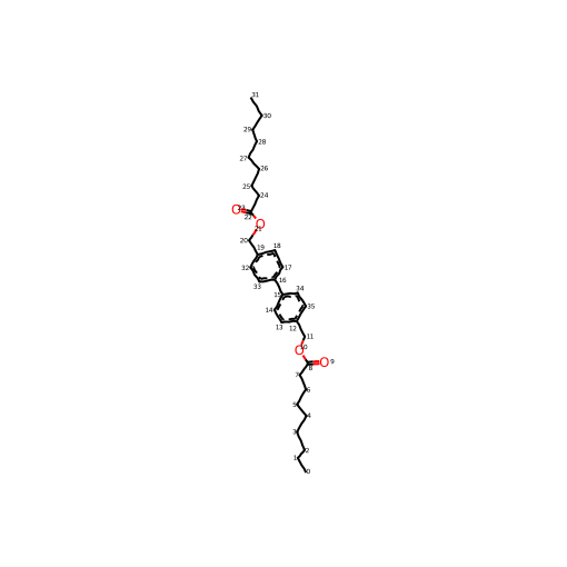 CCCCCCCCC(=O)OCc1ccc(-c2ccc(COC(=O)CCCCCCCC)cc2)cc1